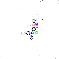 O=S(=O)(Nc1cscn1)c1ccc(Nc2ccc(C(F)(F)F)cc2N2CCCC2)c(Cl)c1